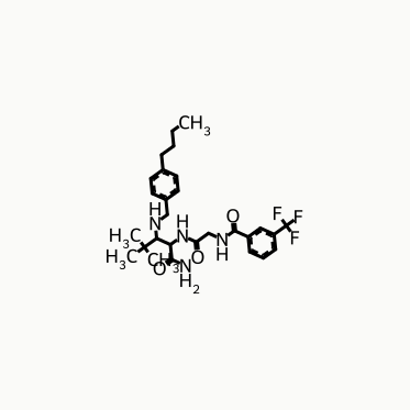 CCCCc1ccc(CNC(C(NC(=O)CNC(=O)c2cccc(C(F)(F)F)c2)C(N)=O)C(C)(C)C)cc1